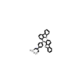 C=C/C(=C\C)c1ccc(N(c2cccc3c2SC2CC=CC=C32)c2cccc3c2sc2ccccc23)cc1